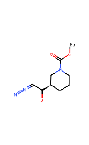 CC(C)(C)OC(=O)N1CCC[C@@H](C(=O)C=[N+]=[N-])C1